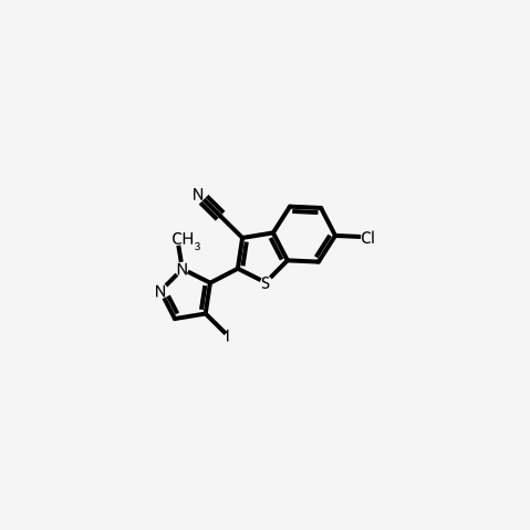 Cn1ncc(I)c1-c1sc2cc(Cl)ccc2c1C#N